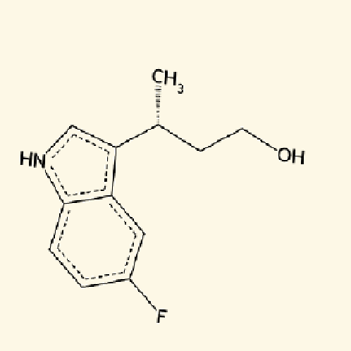 C[C@H](CCO)c1c[nH]c2ccc(F)cc12